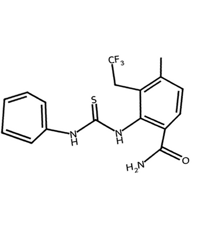 Cc1ccc(C(N)=O)c(NC(=S)Nc2ccccc2)c1CC(F)(F)F